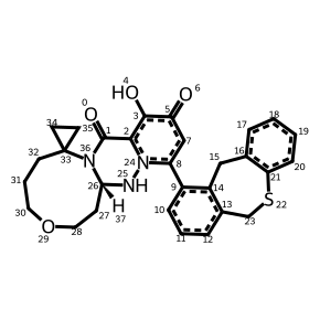 O=C1c2c(O)c(=O)cc(-c3cccc4c3Cc3ccccc3SC4)n2N[C@@H]2CCOCCCC3(CC3)N12